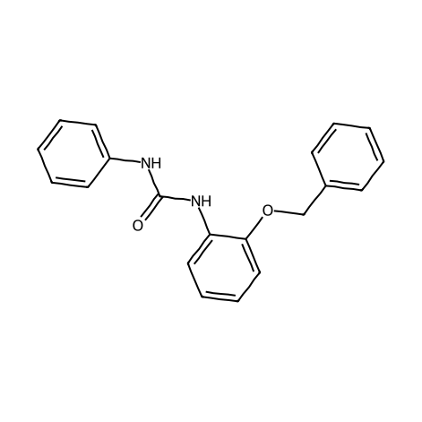 O=C(Nc1ccccc1)Nc1ccccc1OCc1ccccc1